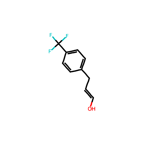 O/C=C/Cc1ccc(C(F)(F)F)cc1